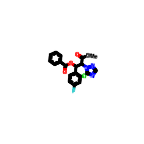 COC(=O)C(C(OC(=O)c1ccccc1)c1ccc(F)cc1Cl)n1cncn1